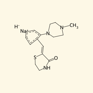 CN1CCN(c2ccccc2C=C2SCCNC2=O)CC1.[H-].[Na+]